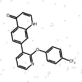 O=c1cc[nH]c2cc(-c3cccnc3Oc3ccc(C(F)(F)F)cc3)ccc12